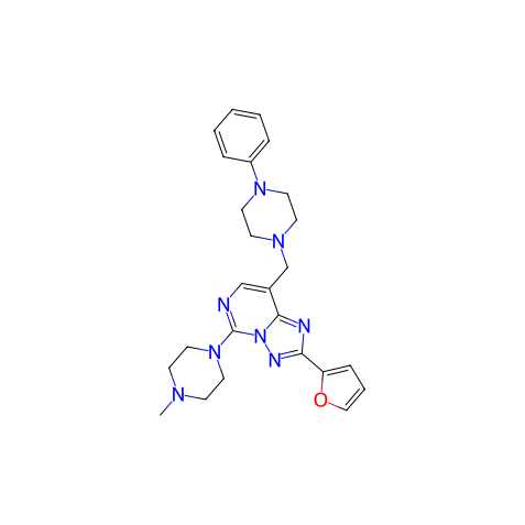 CN1CCN(c2ncc(CN3CCN(c4ccccc4)CC3)c3nc(-c4ccco4)nn23)CC1